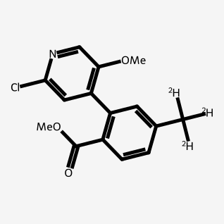 [2H]C([2H])([2H])c1ccc(C(=O)OC)c(-c2cc(Cl)ncc2OC)c1